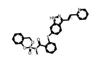 CN(C(=O)c1ccccc1Sc1ccc2c(/C=C/c3ccccn3)n[nH]c2c1)P1(=O)OCc2ccccc2O1